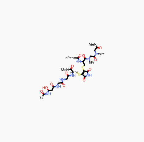 CCCCCC(=O)NC(CSC1=C(SC[C@H](NC(=O)CNC(=O)CNC(=O)CC(O)NC(=O)CC)C(=O)NC)C(=O)NC1=O)C(=O)N(CCC)CC(=O)N(CCC)CC(=O)NC